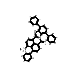 Nc1ccc2c3c1c(-c1ccccc1)ccc3c(=O)n1c2nc2c(-c3ccccc3)ccc(-c3ccccc3)c21